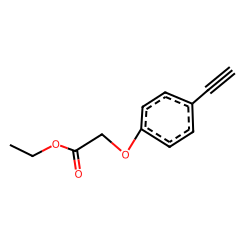 C#Cc1ccc(OCC(=O)OCC)cc1